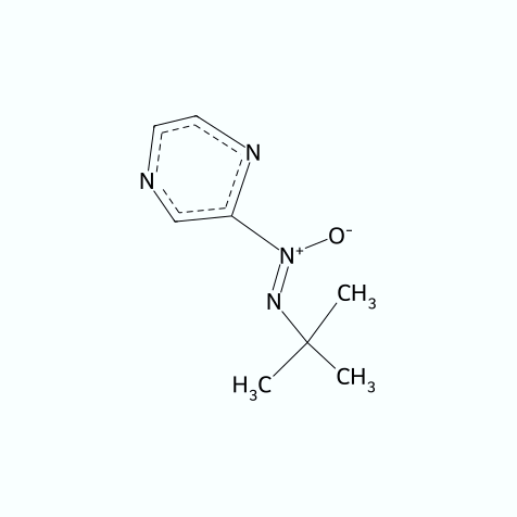 CC(C)(C)N=[N+]([O-])c1cnccn1